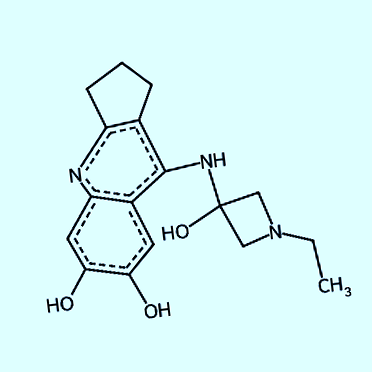 CCN1CC(O)(Nc2c3c(nc4cc(O)c(O)cc24)CCC3)C1